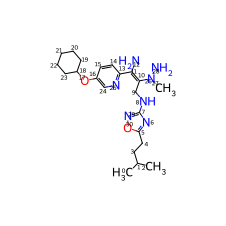 CC(C)CCc1nc(NC/C(=C(/N)c2ccc(OC3CCCCC3)cn2)N(C)N)no1